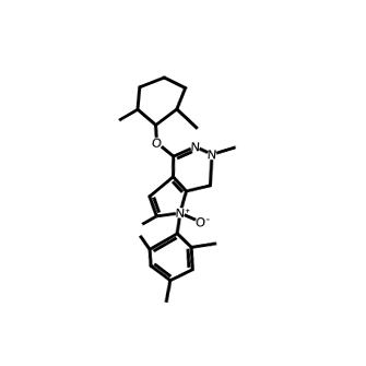 CC1=CC2=C(CN(C)N=C2OC2C(C)CCCC2C)[N+]1([O-])c1c(C)cc(C)cc1C